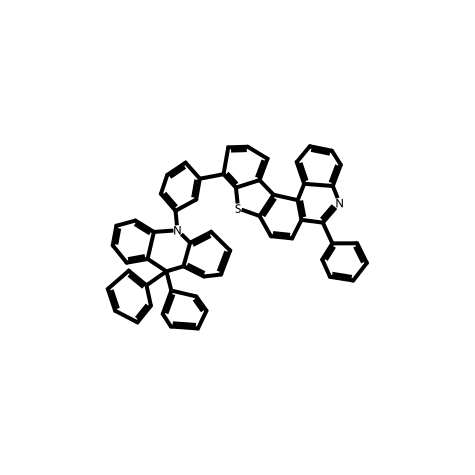 c1ccc(-c2nc3ccccc3c3c2ccc2sc4c(-c5cccc(N6c7ccccc7C(c7ccccc7)(c7ccccc7)c7ccccc76)c5)cccc4c23)cc1